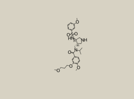 COCCCOc1cc(C(=O)N(C[C@H]2CNC[C@@H]2NS(=O)(=O)c2cccc(OC)c2)C(C)C)ccc1OC